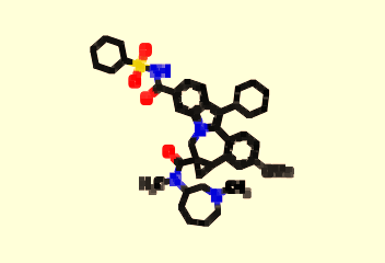 COc1ccc2c(c1)C1CC1(C(=O)N(C)C1CCCCN(C)C1)Cn1c-2c(C2CCCCC2)c2ccc(C(=O)NS(=O)(=O)C3CCCCC3)cc21